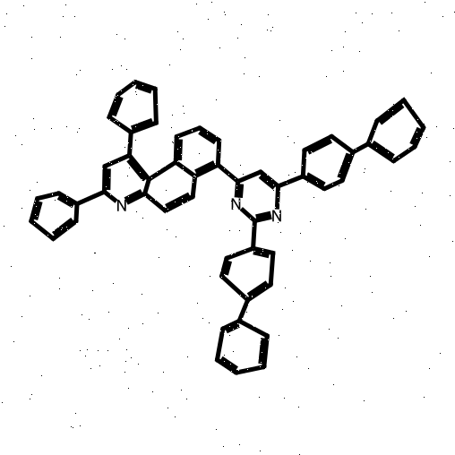 c1ccc(-c2ccc(-c3cc(-c4cccc5c4ccc4nc(-c6ccccc6)cc(-c6ccccc6)c45)nc(-c4ccc(-c5ccccc5)cc4)n3)cc2)cc1